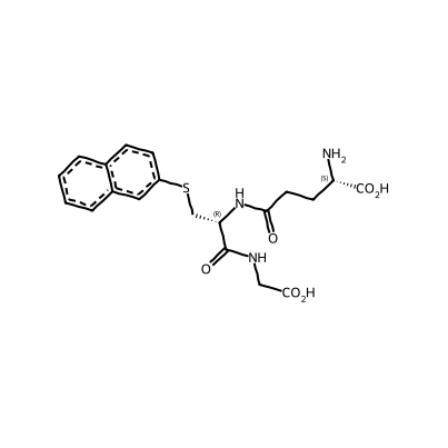 N[C@@H](CCC(=O)N[C@@H](CSc1ccc2ccccc2c1)C(=O)NCC(=O)O)C(=O)O